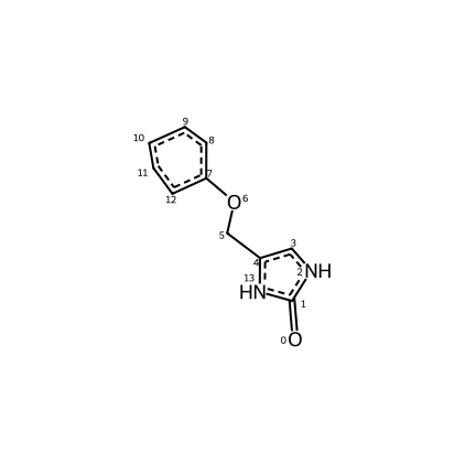 O=c1[nH]cc(COc2ccccc2)[nH]1